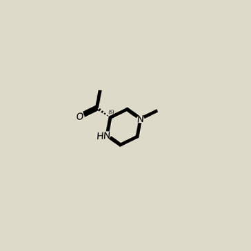 CC(=O)[C@@H]1CN(C)CCN1